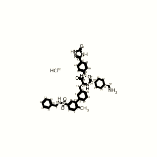 Cc1ccc(S(=O)(=O)NCc2ccccc2)cc1-c1cccc(C[C@H](NC(=O)[C@H]2CC[C@H](CN)CC2)C(=O)Nc2ccc(-c3n[nH]c(=O)[nH]3)cc2)c1.Cl